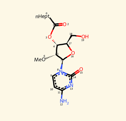 CCCCCCCC(=O)O[C@H]1[C@@H](OC)[C@H](n2ccc(N)nc2=O)O[C@@H]1CO